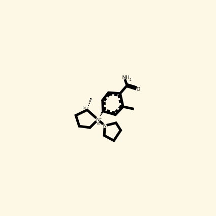 Cc1cc([N@+]2(N3CCCC3)CCC[C@@H]2C)ccc1C(N)=O